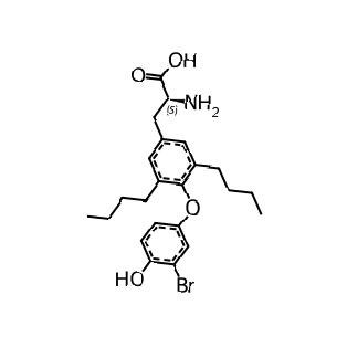 CCCCc1cc(C[C@H](N)C(=O)O)cc(CCCC)c1Oc1ccc(O)c(Br)c1